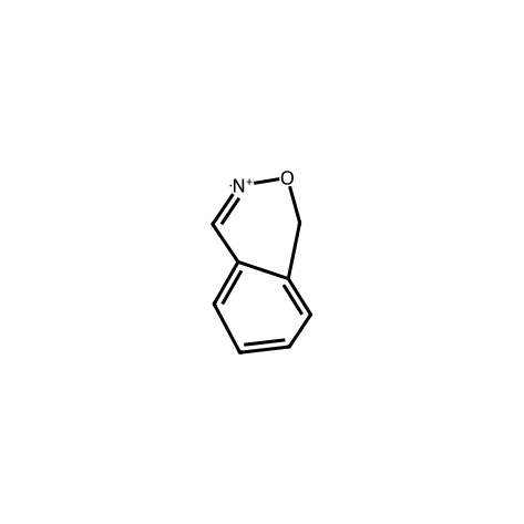 C1=[N+]OCc2ccccc21